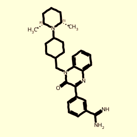 C[C@@H]1CCC[C@H](C)N1C1CCC(Cn2c(=O)c(-c3cccc(C(=N)N)c3)nc3ccccc32)CC1